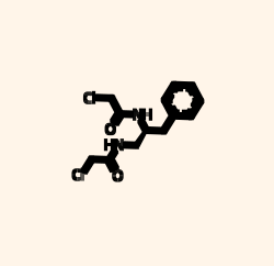 O=C(CCl)NC[C@H](Cc1ccccc1)NC(=O)CCl